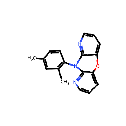 Cc1ccc(N2c3ncccc3Oc3cccnc32)c(C)c1